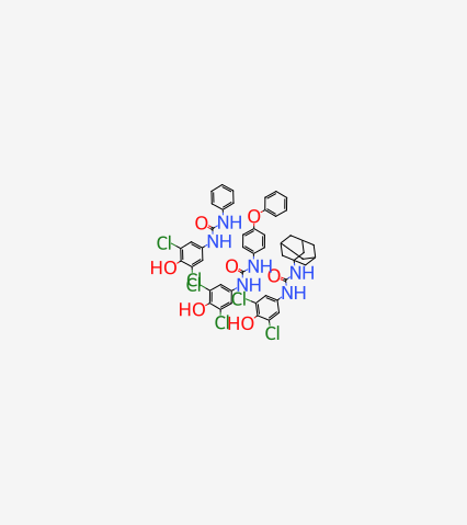 O=C(Nc1cc(Cl)c(O)c(Cl)c1)NC12CC3CC(CC(C3)C1)C2.O=C(Nc1ccc(Oc2ccccc2)cc1)Nc1cc(Cl)c(O)c(Cl)c1.O=C(Nc1ccccc1)Nc1cc(Cl)c(O)c(Cl)c1